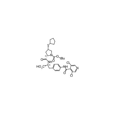 CC(C)(C)OC(=O)N1CC(SC2CCCC2)C[C@H]1C(=O)N[C@@H](Cc1ccc(NC(=O)c2c(Cl)cncc2Cl)cc1)C(=O)O